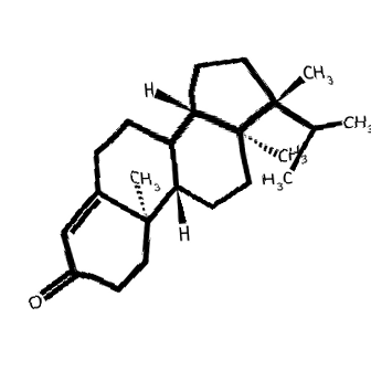 CC(C)[C@@]1(C)CC[C@H]2C3CCC4=CC(=O)CC[C@]4(C)[C@H]3CC[C@@]21C